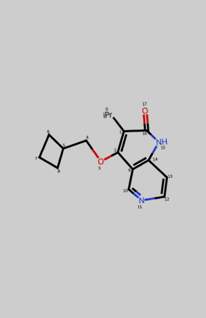 CC(C)c1c(OCC2CCC2)c2cnccc2[nH]c1=O